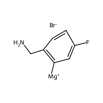 NCc1ccc(F)c[c]1[Mg+].[Br-]